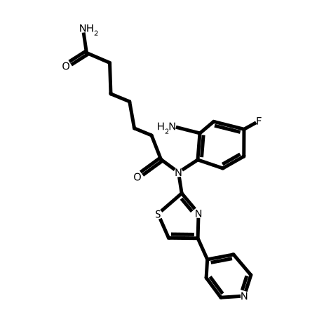 NC(=O)CCCCCC(=O)N(c1nc(-c2ccncc2)cs1)c1ccc(F)cc1N